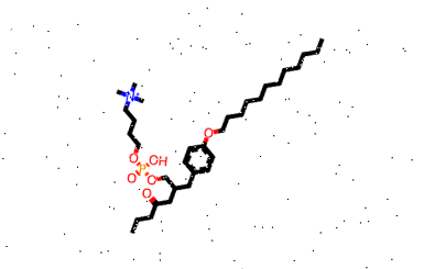 CCCCCCCCCCCCOc1ccc(CC(COP(=O)(O)OCCCC[N+](C)(C)C)CC(=O)CCC)cc1